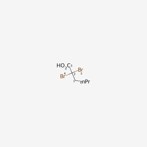 CCCCC(Br)(Br)C(=O)O